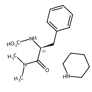 C1CCNCC1.CN(C)C(=O)[C@H](Cc1ccccc1)NC(=O)O